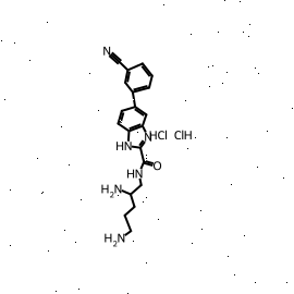 Cl.Cl.N#Cc1cccc(-c2ccc3[nH]c(C(=O)NCC(N)CCCN)nc3c2)c1